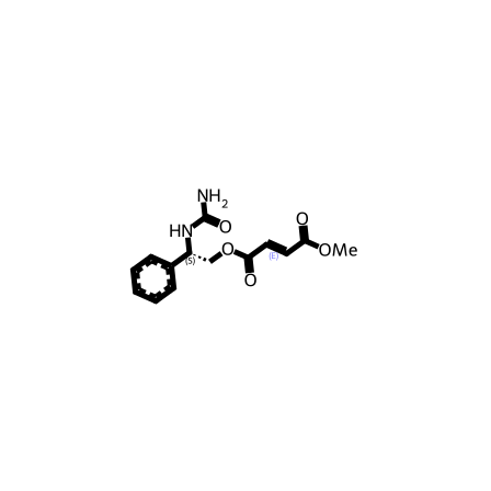 COC(=O)/C=C/C(=O)OC[C@@H](NC(N)=O)c1ccccc1